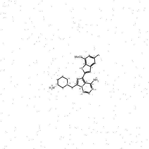 COc1cc(C)cc2cc(-c3cc(CN4CCC[C@@H](N)C4)n4ncnc(N)c34)sc12